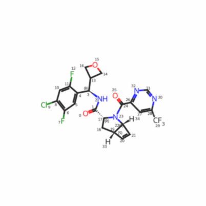 O=C(N[C@@H](c1cc(F)c(Cl)cc1F)C1COC1)[C@H]1C[C@H]2C=C[C@H]2N1C(=O)c1cc(C(F)(F)F)ncn1